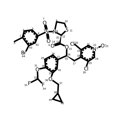 Cc1ccc(S(=O)(=O)N2CCS[C@H]2C(=O)O[C@@H](Cc2c(Cl)c[n+]([O-])cc2Cl)c2ccc(OC(F)F)c(OCC3CC3)c2)cc1Br